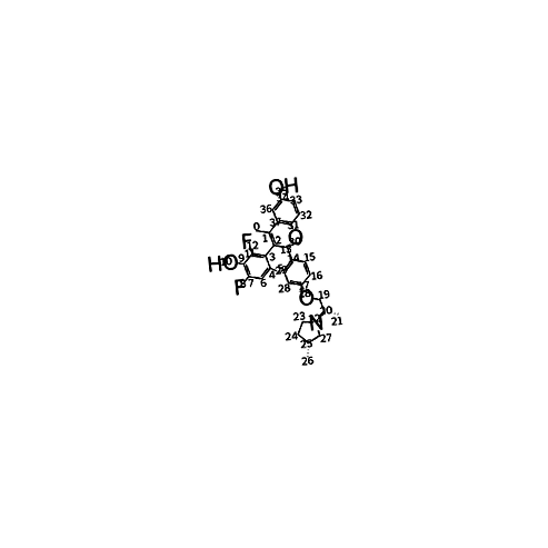 CC1=C(c2c(C)cc(F)c(O)c2F)C(c2ccc(OC[C@H](C)N3CC[C@@H](C)C3)cc2)Oc2ccc(O)cc21